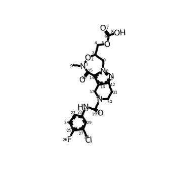 CN1OC(COC(=O)O)Cn2nc3c(c2C1=O)CN(C(=O)Nc1ccc(F)c(Cl)c1)CC3